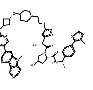 Cc1ncsc1-c1ccc([C@H](C)NC(=O)[C@@H]2C[C@@H](O)CN2C(=O)[C@@H](c2cc(OCCN3CCC(O[C@H]4C[C@H](Oc5ccc(-c6ccc7c8cnccc8n(C)c7c6)cn5)C4)CC3)no2)C(C)C)cc1